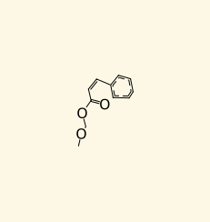 COCOC(=O)/C=C\c1ccccc1